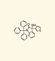 NC1(c2ccsc2)C(=O)N(C(c2ccccc2)(c2ccccc2)c2ccccc2)c2ccccc21